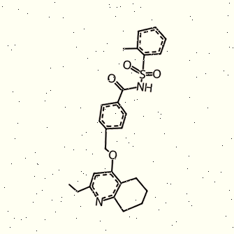 CCc1cc(OCc2ccc(C(=O)NS(=O)(=O)c3ccccc3C)cc2)c2c(n1)CCCC2